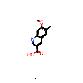 COc1cc2ncc(C(=O)O)cc2cc1C